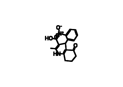 CC1=C(C(=O)O)C(c2ccccc2[N+](=O)[O-])C2=C(CCCC2=O)N1